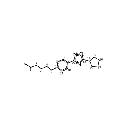 CCCCCCc1ccc(-c2noc(C3CCCC3)n2)cc1